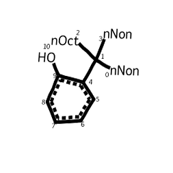 CCCCCCCCCC(CCCCCCCC)(CCCCCCCCC)c1ccccc1O